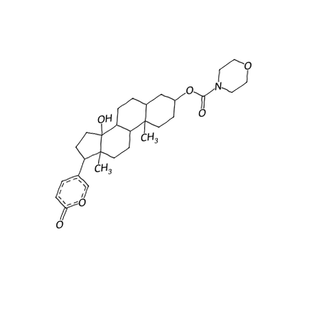 CC12CCC(OC(=O)N3CCOCC3)CC1CCC1C2CCC2(C)C(c3ccc(=O)oc3)CCC12O